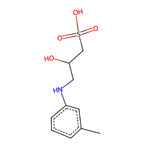 Cc1cccc(NCC(O)CS(=O)(=O)O)c1